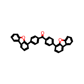 O=C(c1ccc(-c2cccc3c2oc2ccccc23)cc1)c1ccc(-c2cccc3c2oc2ccccc23)cc1